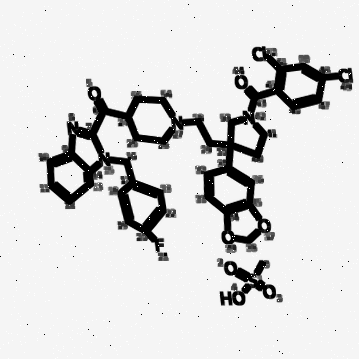 CS(=O)(=O)O.O=C(c1nc2ccccc2n1Cc1ccc(F)cc1)C1CCN(CCC2(c3ccc4c(c3)OCO4)CCN(C(=O)c3ccc(Cl)cc3Cl)C2)CC1